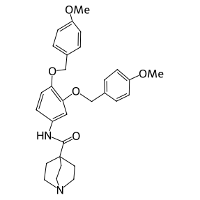 COc1ccc(COc2ccc(NC(=O)C34CCN(CC3)CC4)cc2OCc2ccc(OC)cc2)cc1